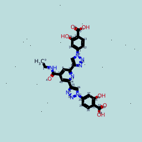 CCNC(=O)c1cc(-c2cn(-c3ccc(C(=O)O)c(O)c3)nn2)nc(-c2cn(-c3ccc(C(=O)O)c(O)c3)nn2)c1